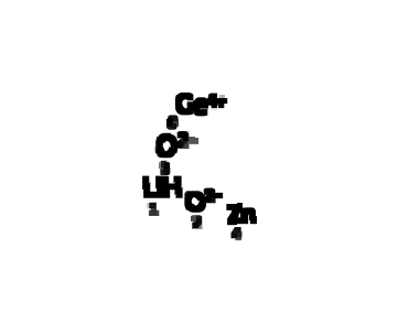 [Ge+4].[LiH].[O-2].[O-2].[Zn]